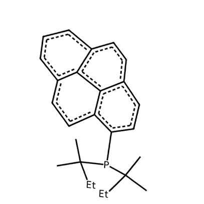 CCC(C)(C)P(c1ccc2ccc3cccc4ccc1c2c34)C(C)(C)CC